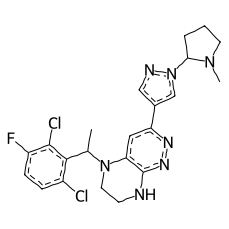 CC(c1c(Cl)ccc(F)c1Cl)N1CCNc2nnc(-c3cnn(C4CCCN4C)c3)cc21